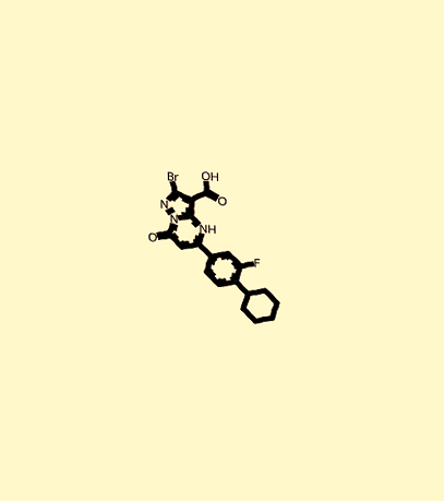 O=C(O)c1c(Br)nn2c(=O)cc(-c3ccc(C4CCCCC4)c(F)c3)[nH]c12